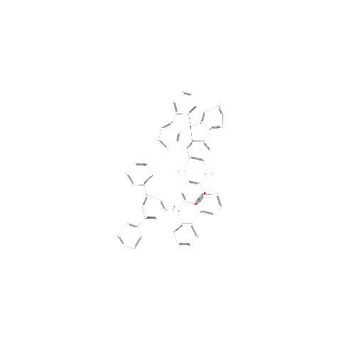 c1ccc(-c2cc(-c3ccccc3)cc(N(c3ccc4c(c3)Oc3cc5c(cc3O4)-c3ccccc3C53c4ccccc4-c4ccccc43)c3ccccc3-c3ccccc3)c2)cc1